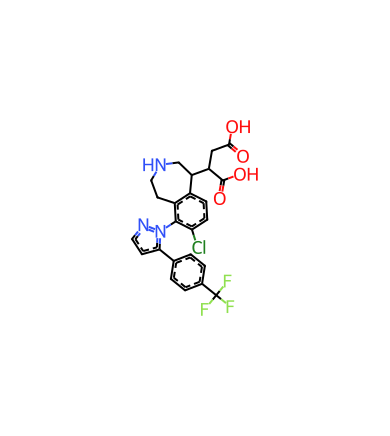 O=C(O)CC(C(=O)O)C1CNCCc2c1ccc(Cl)c2-n1nccc1-c1ccc(C(F)(F)F)cc1